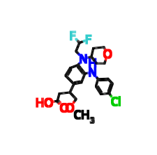 COCC(CC(=O)O)c1ccc(N(CC(F)F)C2CCOCC2)c(Nc2ccc(Cl)cc2)c1